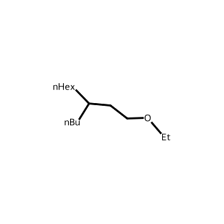 CCCCCCC(CCCC)CCOCC